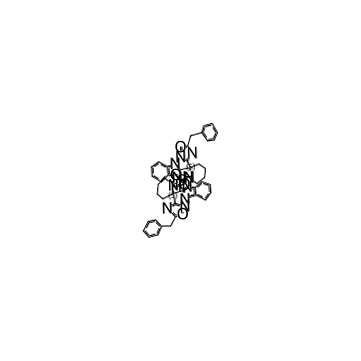 O=S(=O)(N1CCCC[C@@]1(c1noc(Cc2ccccc2)n1)c1nc2ccccc2[nH]1)N1CCCC[C@@]1(c1noc(Cc2ccccc2)n1)c1nc2ccccc2[nH]1